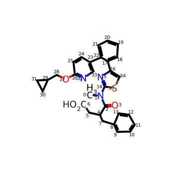 CN(C(=O)C(CC(=O)O)Cc1ccccc1)c1nc(-c2ccccc2-c2ccc(OCC3CC3)nc2)cs1